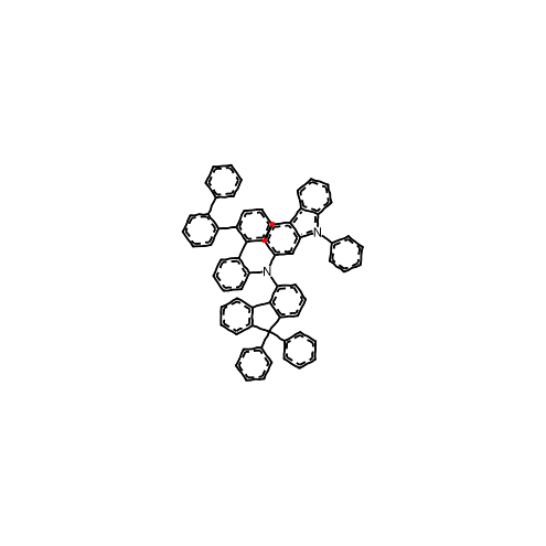 c1ccc(-c2ccccc2-c2ccccc2-c2ccccc2N(c2ccc3c4ccccc4n(-c4ccccc4)c3c2)c2cccc3c2-c2ccccc2C3(c2ccccc2)c2ccccc2)cc1